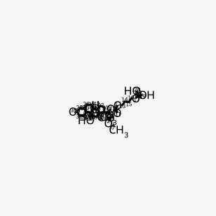 CCOC(=O)O[C@]1(C(=O)OC(=O)OCCCCON(O)O)CC[C@H]2[C@@H]3CCC4=CC(=O)C=C[C@]4(C)[C@H]3[C@@H](O)C[C@@]21C